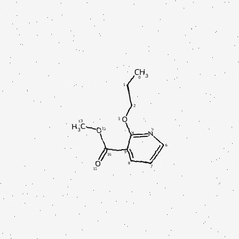 CCCOc1ncccc1C(=O)OC